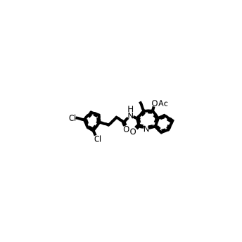 CC(=O)Oc1c(C)c(NC(=O)CCc2ccc(Cl)cc2Cl)c(=O)nc2ccccc12